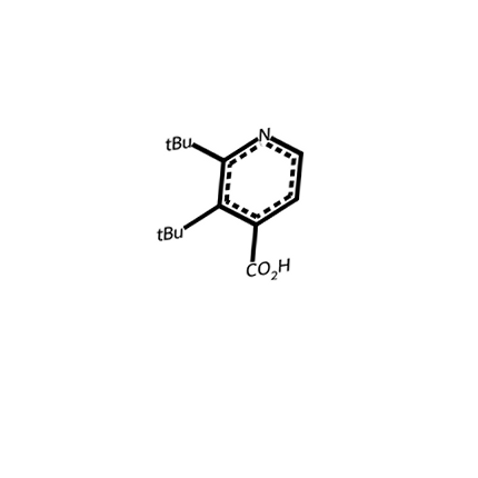 CC(C)(C)c1nccc(C(=O)O)c1C(C)(C)C